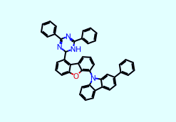 c1ccc(C2=NC(c3cccc4oc5c(-n6c7ccccc7c7ccc(-c8ccccc8)cc76)cccc5c34)NC(c3ccccc3)=N2)cc1